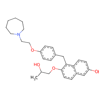 CC(O)COc1ccc2cc(O)ccc2c1Cc1ccc(OCCN2CCCCCC2)cc1